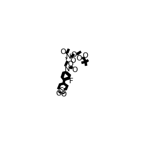 CC(=O)N(C[C@H]1CN(c2ccc(C3CCS(=O)(=O)CC3)c(F)c2)C(=O)O1)C(=O)OC(C)OC(=O)C(C)(C)C